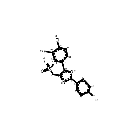 O=S(=O)(Cl)Cc1nc(-c2ccc(F)cc2)oc1-c1ccc(Cl)c(F)c1